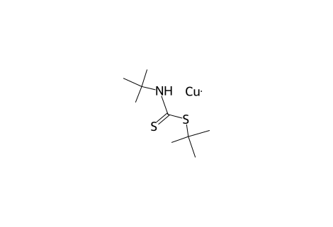 CC(C)(C)NC(=S)SC(C)(C)C.[Cu]